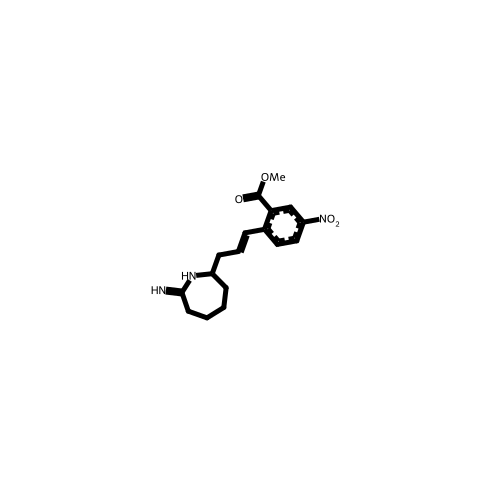 COC(=O)c1cc([N+](=O)[O-])ccc1C=CCC1CCCCC(=N)N1